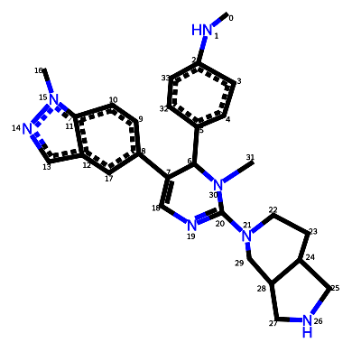 CNc1ccc(C2C(c3ccc4c(cnn4C)c3)=CN=C(N3CCC4CNCC4C3)N2C)cc1